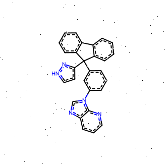 c1cc(-n2cnc3cccnc32)cc(C2(c3cc[nH]n3)c3ccccc3-c3ccccc32)c1